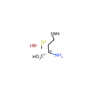 Br.CS.CSCC[C@H](N)C(=O)O